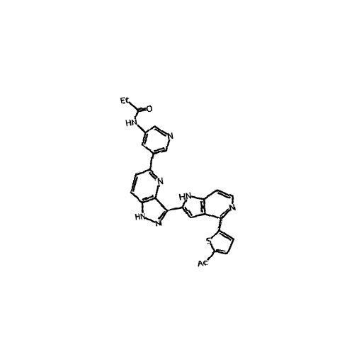 CCC(=O)Nc1cncc(-c2ccc3[nH]nc(-c4cc5c(-c6ccc(C(C)=O)s6)nccc5[nH]4)c3n2)c1